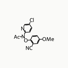 COc1ccc(ON(C(C)=O)c2ccc(Cl)cn2)c(C#N)c1